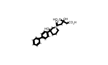 O=C(O)CC(O)(CC(=O)N1CCCC(O)(c2ccc(-c3ccccc3)cc2)C1)C(=O)O